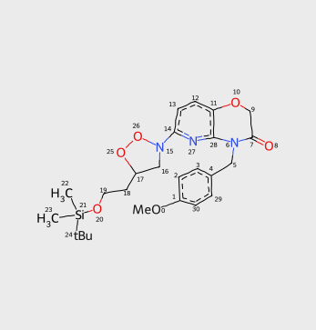 COc1ccc(CN2C(=O)COc3ccc(N4CC(CCO[Si](C)(C)C(C)(C)C)OO4)nc32)cc1